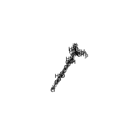 CC(C)(C)c1cc(NC(=O)Nc2ccccc2)n(-c2cccc(CNC(=O)CNC(=O)OCCOCCOCCOC(=O)NCCOCCOCCCCCCCl)c2)n1